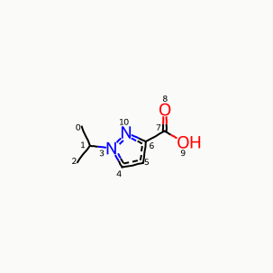 CC(C)n1ccc(C(=O)O)n1